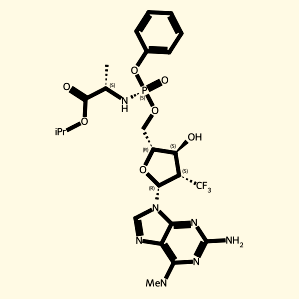 CNc1nc(N)nc2c1ncn2[C@@H]1O[C@H](CO[P@@](=O)(N[C@@H](C)C(=O)OC(C)C)Oc2ccccc2)[C@@H](O)[C@@H]1C(F)(F)F